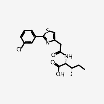 CC[C@H](C)[C@@H](NC(=O)Cc1csc(-c2cccc(Cl)c2)n1)C(=O)O